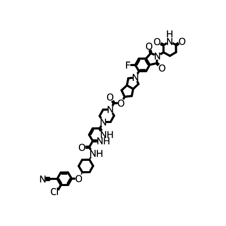 N#Cc1ccc(O[C@H]2CC[C@H](NC(=O)C(=N)/C=C\C(=N)N3CCN(C(=O)OC4CC5CN(c6cc7c(cc6F)C(=O)N(C6CCC(=O)NC6=O)C7=O)CC5C4)CC3)CC2)cc1Cl